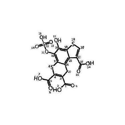 O=C(O)C1=C(C(=O)O)Sc2c(OS(=O)(=O)O)c(O)c3scc(C(=O)O)c3c2C1